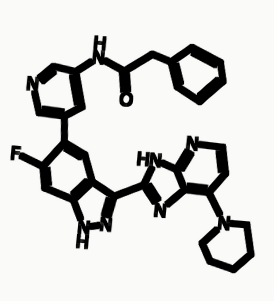 O=C(Cc1ccccc1)Nc1cncc(-c2cc3c(-c4nc5c(N6CCCCC6)ccnc5[nH]4)n[nH]c3cc2F)c1